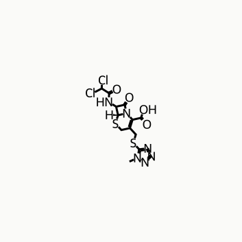 Cn1nnnc1SCC1=C(C(=O)O)N2C(=O)C(NC(=O)C(Cl)Cl)[C@H]2SC1